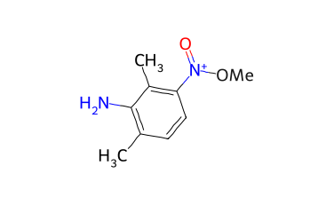 CO[N+](=O)c1ccc(C)c(N)c1C